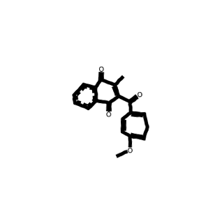 COC1=CCC=C(C(=O)C2=C(C)C(=O)c3ccccc3C2=O)C=C1